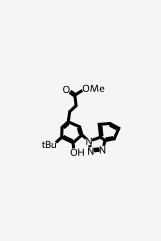 COC(=O)CCc1cc(-n2nnc3ccccc32)c(O)c(C(C)(C)C)c1